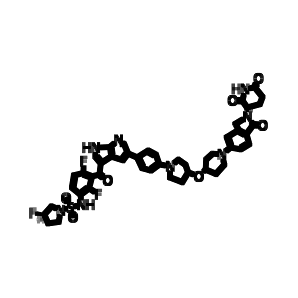 O=C1CC[C@H](N2Cc3cc(N4CCC(OC5CCN(c6ccc(-c7cnc8[nH]cc(C(=O)c9c(F)ccc(NS(=O)(=O)N%10CC[C@@H](F)C%10)c9F)c8c7)cc6)CC5)CC4)ccc3C2=O)C(=O)N1